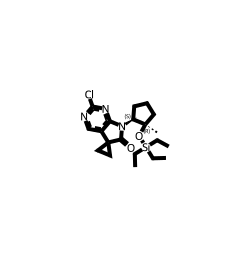 CC[Si](CC)(CC)O[C@]1(C)CCC[C@@H]1N1C(=O)C2(CC2)c2cnc(Cl)nc21